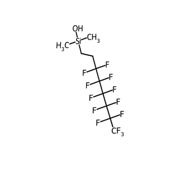 C[Si](C)(O)CCC(F)(F)C(F)(F)C(F)(F)C(F)(F)C(F)(F)C(F)(F)F